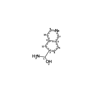 NC(O)c1ccc2cnccc2c1